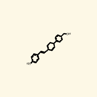 CCCc1ccc(/C=C/C2C=CC(c3ccc(CO)cc3)CC2)cc1